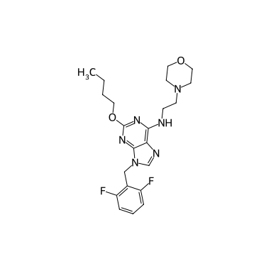 CCCCOc1nc(NCCN2CCOCC2)c2ncn(Cc3c(F)cccc3F)c2n1